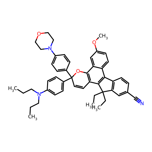 CCCN(CCC)c1ccc(C2(c3ccc(N4CCOCC4)cc3)C=Cc3c4c(c5ccc(OC)cc5c3O2)-c2ccc(C#N)cc2C4(CC)CC)cc1